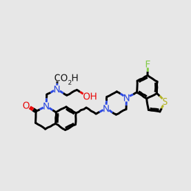 O=C(O)N(CCO)CN1C(=O)CCc2ccc(CCN3CCN(c4cc(F)cc5sccc45)CC3)cc21